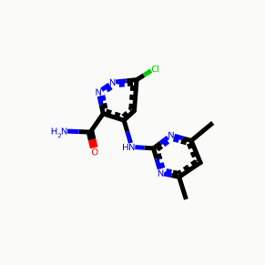 Cc1cc(C)nc(Nc2cc(Cl)nnc2C(N)=O)n1